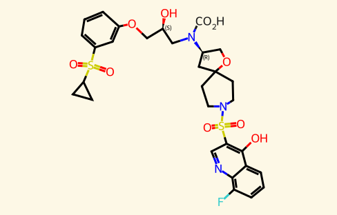 O=C(O)N(C[C@H](O)COc1cccc(S(=O)(=O)C2CC2)c1)[C@H]1COC2(CCN(S(=O)(=O)c3cnc4c(F)cccc4c3O)CC2)C1